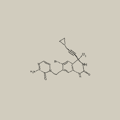 Nc1nccn(Cc2cc3c(cc2Br)C(C#CC2CC2)(C(F)(F)F)NC(=O)N3)c1=O